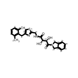 Cc1cccc(C)c1Cc1csc(CNC(=O)[C@H](O)[C@@H](O)C(=O)N2Cc3ccccc3C2)n1